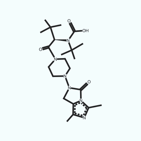 Cc1nc(C)n2c1CN(N1CCN(C(=O)[C@H](N(C(=O)O)C(C)(C)C)C(C)(C)C)CC1)C2=O